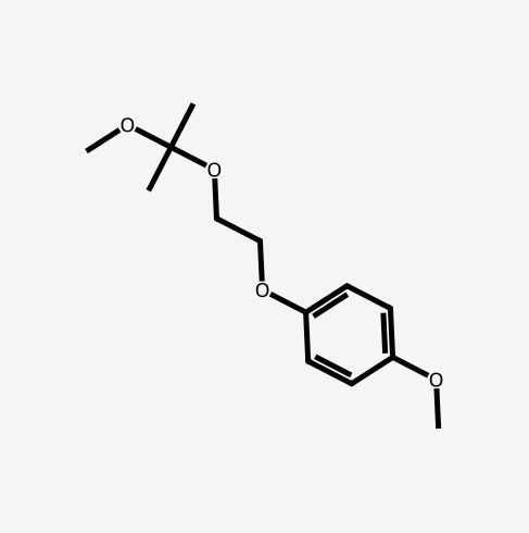 COc1ccc(OCCOC(C)(C)OC)cc1